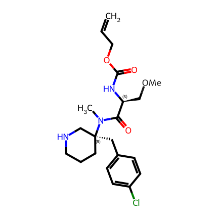 C=CCOC(=O)N[C@@H](COC)C(=O)N(C)[C@@]1(Cc2ccc(Cl)cc2)CCCNC1